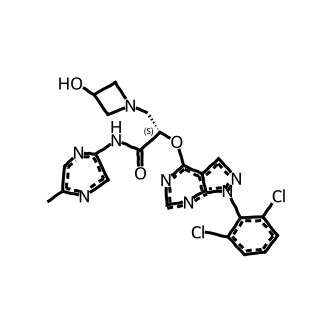 Cc1cnc(NC(=O)[C@H](CN2CC(O)C2)Oc2ncnc3c2cnn3-c2c(Cl)cccc2Cl)cn1